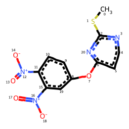 CSc1nccc(Oc2ccc([N+](=O)[O-])c([N+](=O)[O-])c2)n1